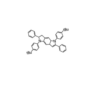 CC(C)(C)c1ccc(N2C3=CC4C=C(c5ccccc5)N(c5ccc(C(C)(C)C)cc5)C4C=C3CC2c2ccccc2)cc1